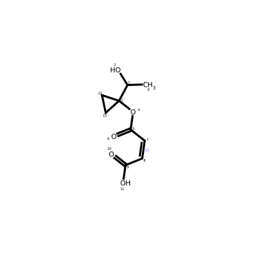 CC(O)C1(OC(=O)/C=C\C(=O)O)CC1